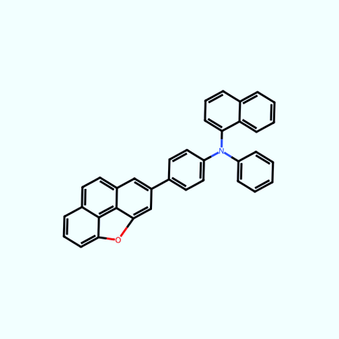 c1ccc(N(c2ccc(-c3cc4ccc5cccc6oc(c3)c4c56)cc2)c2cccc3ccccc23)cc1